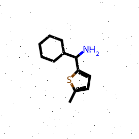 Cc1ccc(C(N)C2CCCCC2)s1